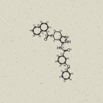 O=C(Nc1[nH]nc2c1CN(C(=O)c1cccc3ccccc13)CC2)c1cccc(Oc2ccccc2)c1